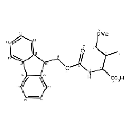 COCC(C)C(NC(=O)OCC1c2ccccc2-c2ccccc21)C(=O)O